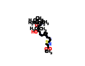 C/C=C/[C@H](O[Si](C)(C)C(C)(C)C)C(C)(C)[C@@H](O)C/C=C\C1CC/C1=C\C=C/c1nc(C(=O)OC)cs1